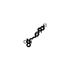 Cn1c(CCCCN2CCN(c3ccc4cc(Cl)ccc4n3)CC2)nc2c(c1=O)CCCC2